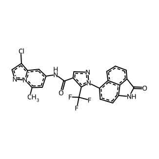 Cc1cc(NC(=O)c2cnn(-c3ccc4c5c(cccc35)C(=O)N4)c2C(F)(F)F)cc2c(Cl)cnn12